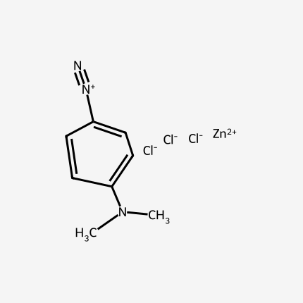 CN(C)c1ccc([N+]#N)cc1.[Cl-].[Cl-].[Cl-].[Zn+2]